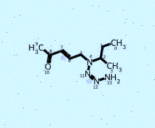 CCC(C)N(C/C=C/C(C)=O)/N=N\N